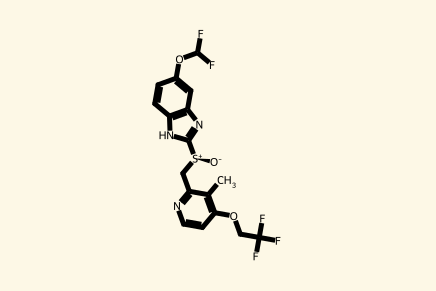 Cc1c(OCC(F)(F)F)ccnc1C[S@+]([O-])c1nc2cc(OC(F)F)ccc2[nH]1